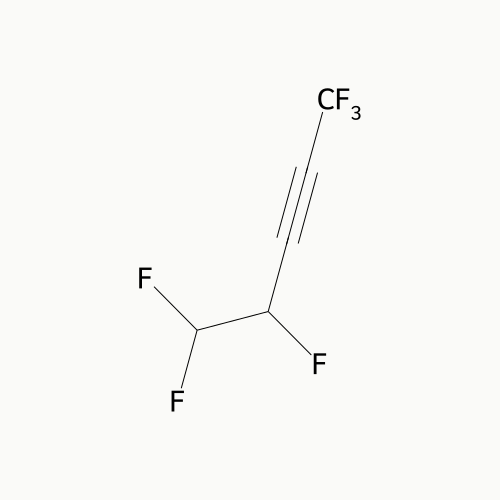 FC(F)C(F)C#CC(F)(F)F